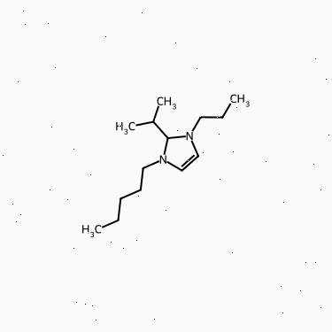 CCCCCN1C=CN(CCC)C1C(C)C